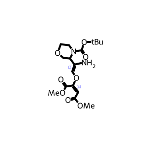 COC(=O)/C=C(/O/C=C(\N)C1COCCN1C(=O)OC(C)(C)C)C(=O)OC